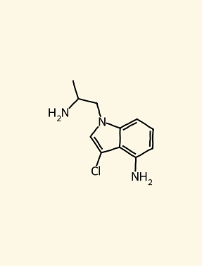 CC(N)Cn1cc(Cl)c2c(N)cccc21